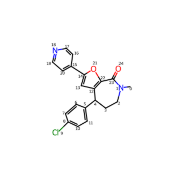 CN1CCC(c2ccc(Cl)cc2)c2cc(-c3ccncc3)oc2C1=O